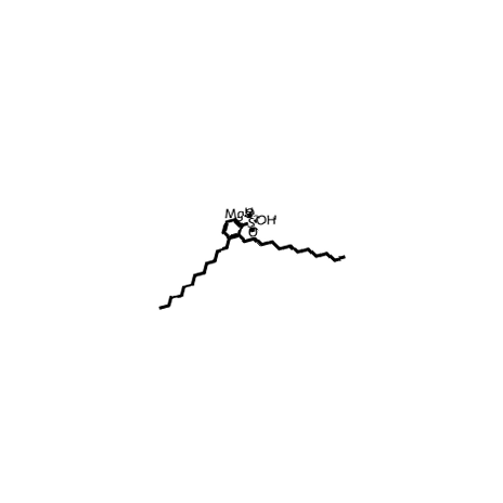 CCCCCCCCCCCCc1cccc(S(=O)(=O)O)c1CCCCCCCCCCCC.[MgH2]